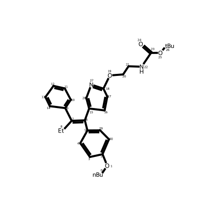 CCCCOc1ccc(/C(=C(\CC)c2ccccc2)c2ccc(OCCNC(=O)OC(C)(C)C)nc2)cc1